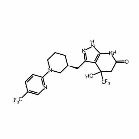 O=C1CC(O)(C(F)(F)F)c2c(C[C@@H]3CCCN(c4ccc(C(F)(F)F)cn4)C3)n[nH]c2N1